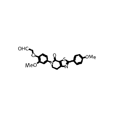 COc1ccc(-c2nc3c(s2)C(=O)N(c2ccc(OCC=O)c(OC)c2)CC3)cc1